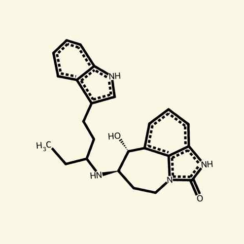 CCC(CCc1c[nH]c2ccccc12)N[C@@H]1CCn2c(=O)[nH]c3cccc(c32)[C@H]1O